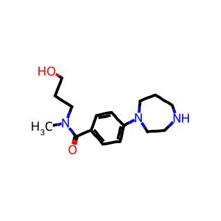 CN(CCCO)C(=O)c1ccc(N2CCCNCC2)cc1